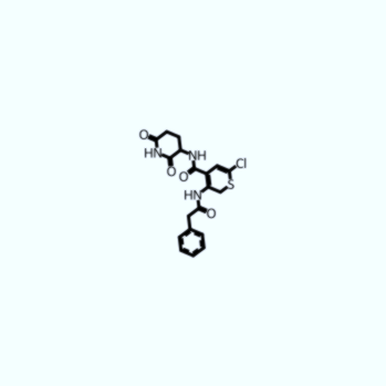 O=C1CCC(NC(=O)C2=C(NC(=O)Cc3ccccc3)CSC(Cl)=C2)C(=O)N1